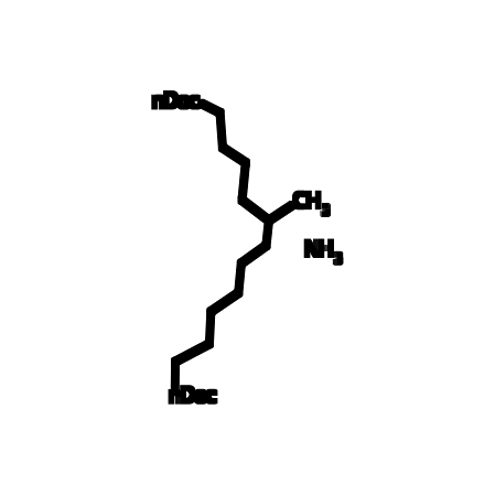 CCCCCCCCCCCCCCCCC(C)CCCCCCCCCCCCCC.N